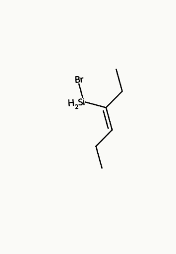 CCC=C(CC)[SiH2]Br